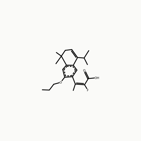 CCCOc1cc2c(cc1/C(C)=C(/F)C(=O)O)C(C(C)C)=CCC2(C)C